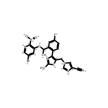 Cc1nc(-c2ccc(F)cc2C(C)Oc2cc(Br)cnc2[N+](=O)[O-])c(Cn2cnc(C#N)c2)s1